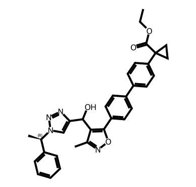 CCOC(=O)C1(c2ccc(-c3ccc(-c4onc(C)c4C(O)c4cn([C@H](C)c5ccccc5)nn4)cc3)cc2)CC1